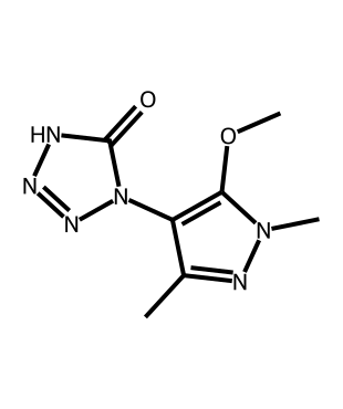 COc1c(-n2nn[nH]c2=O)c(C)nn1C